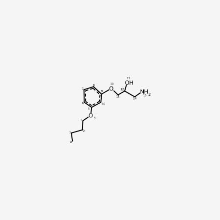 CCCCOc1cccc(OCC(O)CN)c1